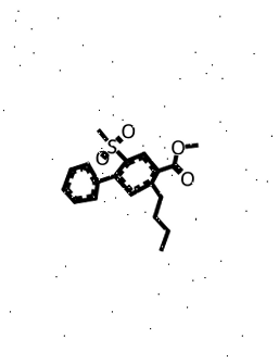 CCCCc1cc(-c2ccccc2)c(S(C)(=O)=O)cc1C(=O)OC